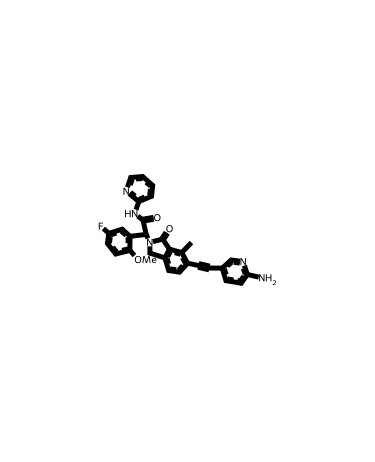 COc1ccc(F)cc1C(C(=O)Nc1ccccn1)N1Cc2ccc(C#Cc3ccc(N)nc3)c(C)c2C1=O